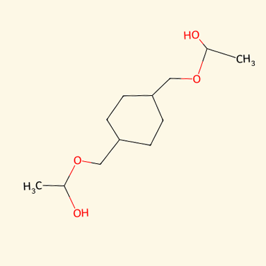 CC(O)OCC1CCC(COC(C)O)CC1